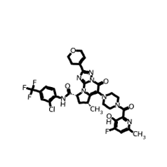 Cc1cc(F)c(O)c(C(=O)N2CCN(c3c4n(c5nc(C6=CCOCC6)nn5c3=O)[C@@H](C(=O)Nc3ccc(C(F)(F)F)cc3Cl)C[C@H]4C)CC2)n1